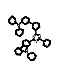 c1ccc(-c2nc(-c3cccc(-c4cccc(N(c5ccccc5)c5ccccc5)c4)c3)nc(-c3ccc4c5ccccc5n(-c5ccccc5)c4c3)n2)cc1